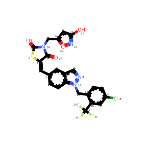 O=C1SC(=Cc2ccc3c(cnn3Cc3ccc(Cl)cc3C(F)(F)F)c2)C(=O)N1Cc1cc(O)no1